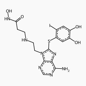 Nc1ncnc2c1nc(Sc1cc(O)c(O)cc1I)n2CCNCCC(=O)NO